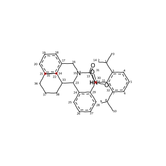 CC(C)c1cccc(C(C)C)c1NC(=O)N(Cc1ccccc1)C(c1ccccc1[N+](=O)[O-])C1CCCCC1